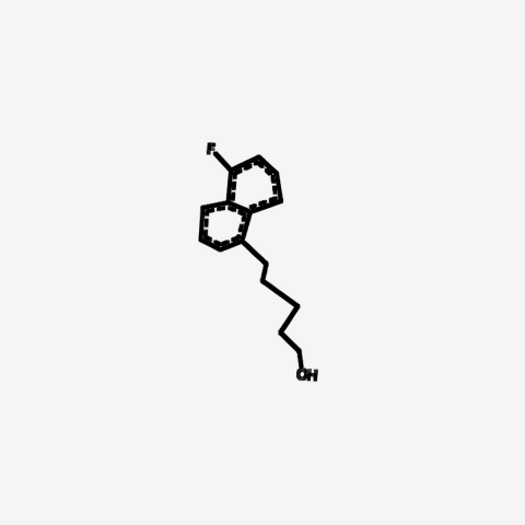 OCCCCCc1cccc2c(F)cccc12